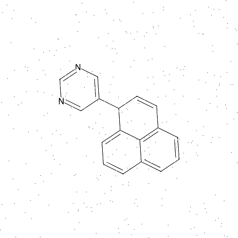 C1=CC(c2cncnc2)c2cccc3cccc1c23